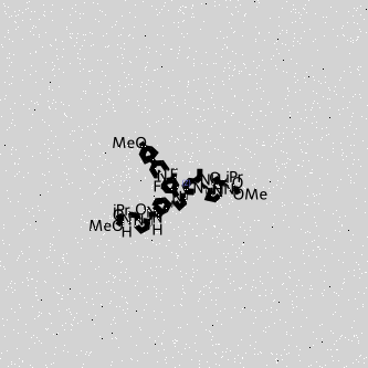 C=C(/C=C\c1nc([C@@H]2CCCN2C(=O)[C@@H](NC(=O)OC)C(C)C)[nH]c1C)[C@H]1CC[C@H](c2ccc3nc([C@@H]4CCCN4C(=O)[C@@H](NC(=O)OC)C(C)C)[nH]c3c2)N1c1cc(F)c(N2CCC(c3ccc(OC)cc3)CC2)c(F)c1